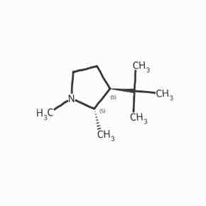 C[C@H]1[C@H](C(C)(C)C)CCN1C